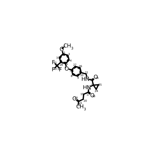 COc1ccc(Oc2ccc(CNC(=O)C3(NC(=O)CCC(C)=O)CC3)cc2)c(C(F)(F)F)c1